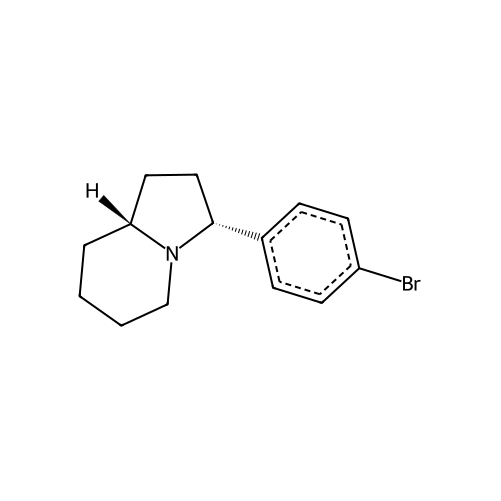 Brc1ccc([C@H]2CC[C@H]3CCCCN32)cc1